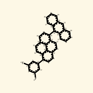 Fc1cc(F)cc(-c2ccc3ccc4c(-c5c6ccccc6cc6ccccc56)ccc5ccc2c3c54)c1